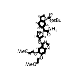 COCCOc1cc2ncnc(Oc3cnn(C(C(N)=O)c4ccc5c(c4)N(C(=O)OC(C)(C)C)CC5)c3)c2cc1OCCOC